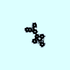 c1ccc(-n2c3ccc(-c4cc5c6c(c4)c4ccccc4n6-c4nc6ccccc6nc4-c4ccccc4-5)cc3c3cc4ccccc4cc32)cc1